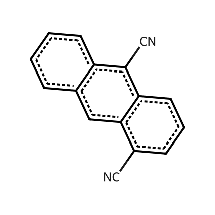 N#Cc1cccc2c(C#N)c3ccccc3cc12